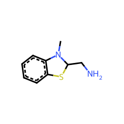 CN1c2ccccc2SC1CN